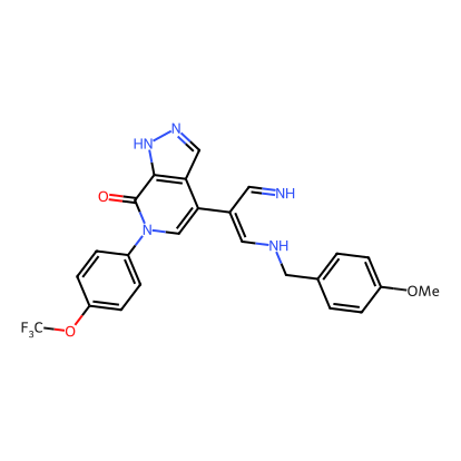 COc1ccc(CN/C=C(\C=N)c2cn(-c3ccc(OC(F)(F)F)cc3)c(=O)c3[nH]ncc23)cc1